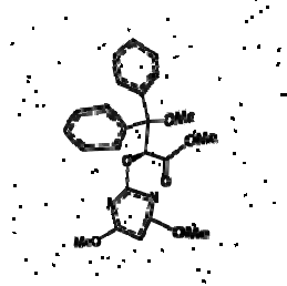 COC(=O)[C@@H](Oc1nc(OC)cc(OC)n1)C(OC)(c1ccccc1)c1ccccc1